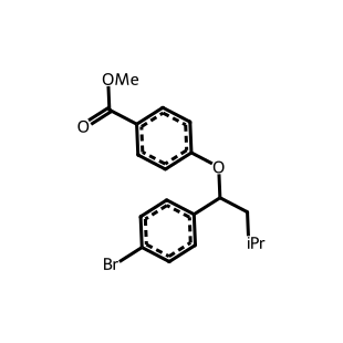 COC(=O)c1ccc(OC(CC(C)C)c2ccc(Br)cc2)cc1